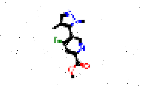 COC(=O)c1cc(F)c(-c2c(C)cnn2C)cn1